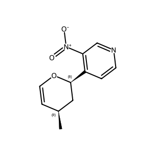 C[C@H]1C=CO[C@@H](c2ccncc2[N+](=O)[O-])C1